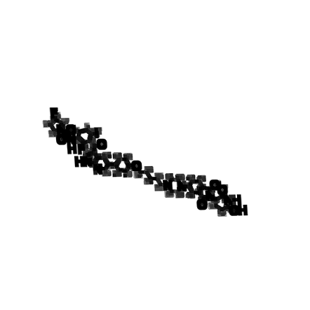 O=C(c1c(F)ccc(NS(=O)(=O)N2CC[C@@H](F)C2)c1F)c1c[nH]c2ncc(-c3ccc(OCCCCCN4CCN(c5ccc6c(c5)C(=O)N(C5CCC(O)NC5=O)C6=O)CC4)cc3)cc12